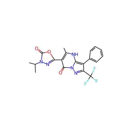 Cc1[nH]c2c(-c3ccccc3)c(C(F)(F)F)nn2c(=O)c1-c1nn(C(C)C)c(=O)o1